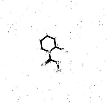 CCOC(=O)N1CCCCC1F